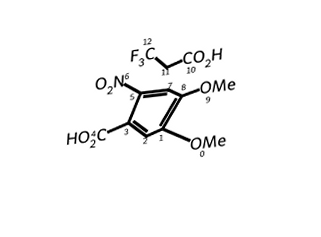 COc1cc(C(=O)O)c([N+](=O)[O-])cc1OC.O=C(O)CC(F)(F)F